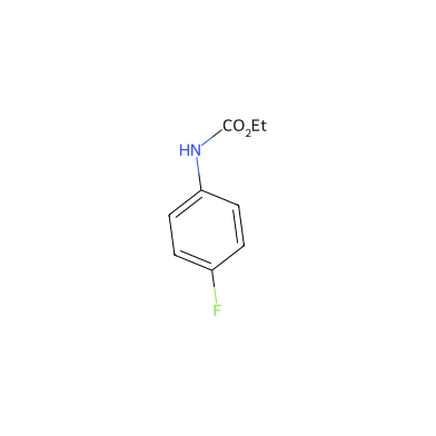 [CH2]COC(=O)Nc1ccc(F)cc1